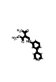 COC(=O)C(=CNc1cccc(-c2ccncc2)c1)C(C)=O